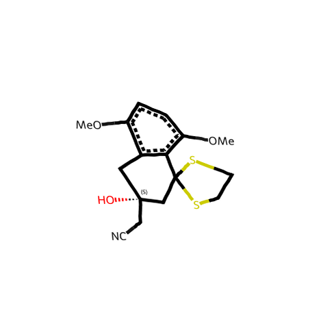 COc1ccc(OC)c2c1C[C@](O)(CC#N)CC21SCCS1